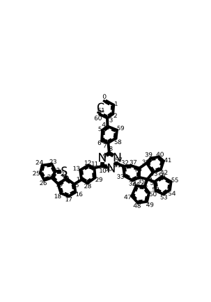 c1ccc(-c2ccc(-c3nc(-c4ccc(-c5cccc6c5sc5ccccc56)cc4)nc(-c4ccc5c(c4)-c4ccccc4C5(c4ccccc4)c4ccccc4)n3)cc2)cc1